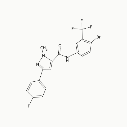 Cn1nc(-c2ccc(F)cc2)cc1C(=O)Nc1ccc(Br)c(C(F)(F)F)c1